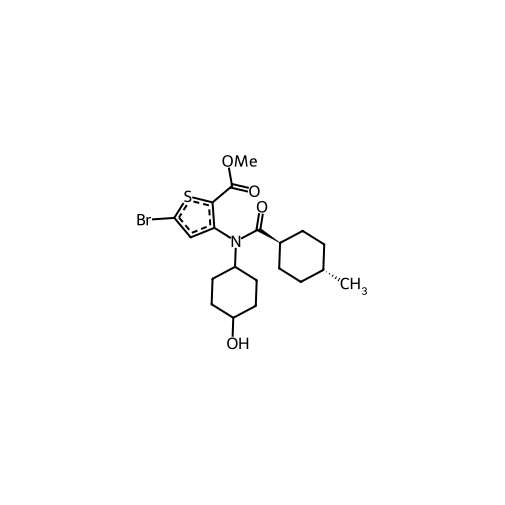 COC(=O)c1sc(Br)cc1N(C(=O)[C@H]1CC[C@H](C)CC1)C1CCC(O)CC1